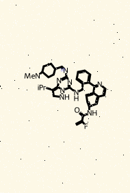 C=C(F)C(=O)Nc1ccc2c(-c3ccccc3CNC3=NC(/N=C\C4CCC(NC)CC4)=NC4=C(C(C)C)CNN34)nccc2c1